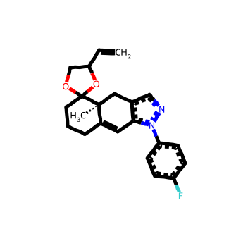 C=CC1COC2(CCCC3=Cc4c(cnn4-c4ccc(F)cc4)C[C@@]32C)O1